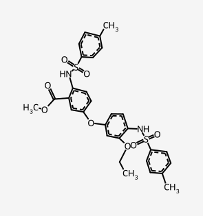 CCOc1cc(Oc2ccc(NS(=O)(=O)c3ccc(C)cc3)c(C(=O)OC)c2)ccc1NS(=O)(=O)c1ccc(C)cc1